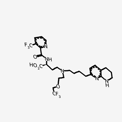 O=C(N[C@@H](CCN(CCCCc1ccc2c(n1)NCCC2)CCOCC(F)(F)F)C(=O)O)c1ncccc1C(F)(F)F